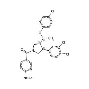 CC(=O)Nc1ccc(C(=O)N2C[C@@H]([C@@H](C)Oc3ccc(Cl)cn3)[C@@H](c3ccc(Cl)c(Cl)c3)C2)cn1